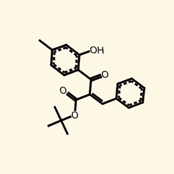 Cc1ccc(C(=O)/C(=C\c2ccccc2)C(=O)OC(C)(C)C)c(O)c1